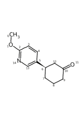 COc1ccc([C@@H]2CCCC(=O)C2)cn1